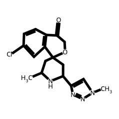 CC1CC2(CC(c3cn(C)nn3)N1)OCC(=O)c1ccc(Cl)cc12